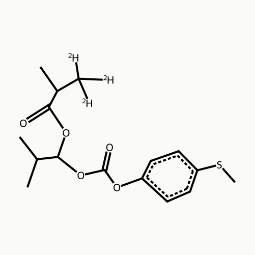 [2H]C([2H])([2H])C(C)C(=O)OC(OC(=O)Oc1ccc(SC)cc1)C(C)C